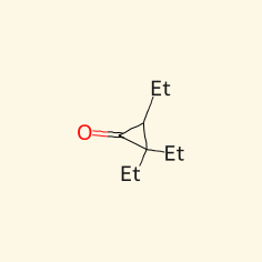 CCC1C(=O)C1(CC)CC